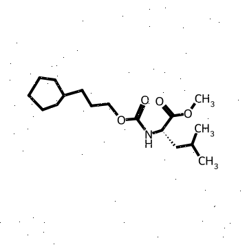 COC(=O)[C@H](CC(C)C)NC(=O)OCCCC1CCCCC1